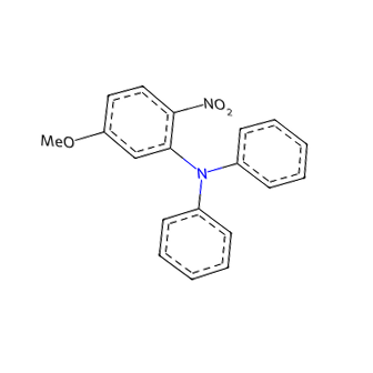 COc1ccc([N+](=O)[O-])c(N(c2ccccc2)c2ccccc2)c1